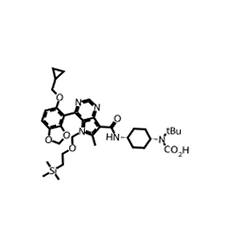 Cc1c(C(=O)N[C@H]2CC[C@@H](N(C(=O)O)C(C)(C)C)CC2)c2ncnc(-c3c(OCC4CC4)ccc4c3OCO4)c2n1COCC[Si](C)(C)C